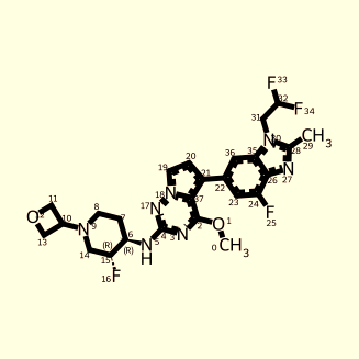 COc1nc(N[C@@H]2CCN(C3COC3)C[C@H]2F)nn2ccc(-c3cc(F)c4nc(C)n(CC(F)F)c4c3)c12